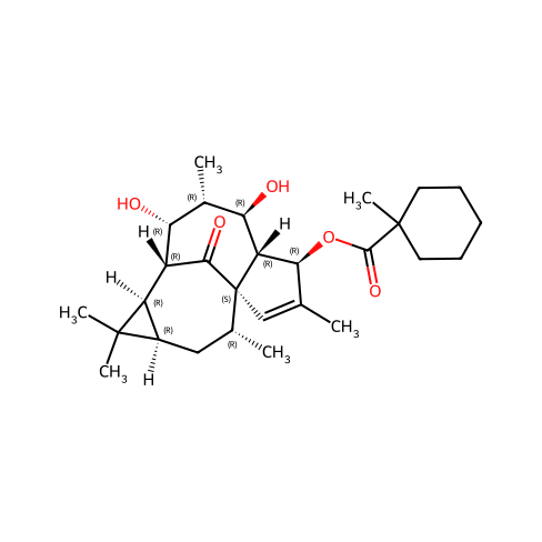 CC1=C[C@]23C(=O)[C@@H]([C@H](O)[C@H](C)[C@@H](O)[C@@H]2[C@H]1OC(=O)C1(C)CCCCC1)[C@H]1[C@@H](C[C@H]3C)C1(C)C